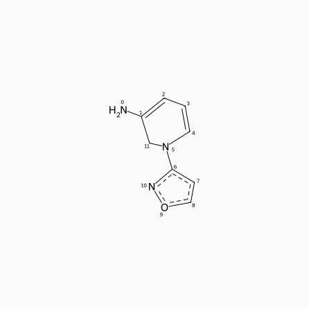 NC1=CC=CN(c2ccon2)C1